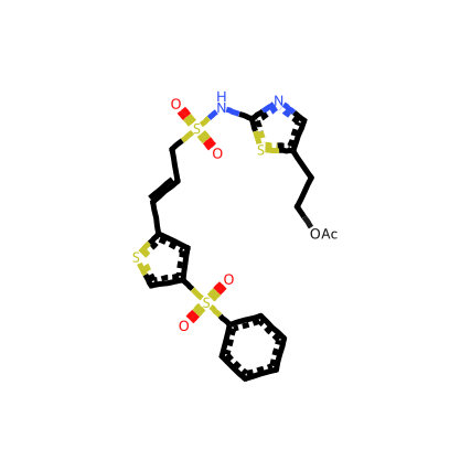 CC(=O)OCCc1cnc(NS(=O)(=O)CC=Cc2cc(S(=O)(=O)c3ccccc3)cs2)s1